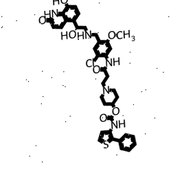 COc1cc(NC(=O)CCN2CCC(OC(=O)Nc3ccsc3-c3ccccc3)CC2)c(Cl)cc1CNC[C@H](O)c1ccc(O)c2[nH]c(=O)ccc12